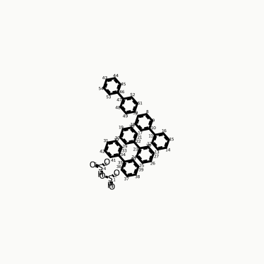 O=[SH](=O)O[SH](=O)=O.c1ccc(-c2ccccc2)cc1.c1ccc(-c2ccccc2)cc1.c1ccc(-c2ccccc2)cc1.c1ccc(-c2ccccc2)cc1